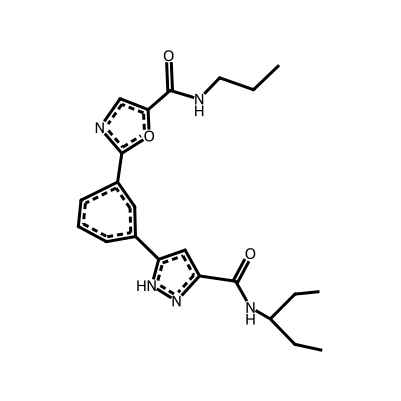 CCCNC(=O)c1cnc(-c2cccc(-c3cc(C(=O)NC(CC)CC)n[nH]3)c2)o1